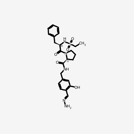 CCS(=O)(=O)N[C@H](Cc1ccccc1)C(=O)N1CCC[C@H]1C(=O)NCc1ccc(C=NN)c(O)c1